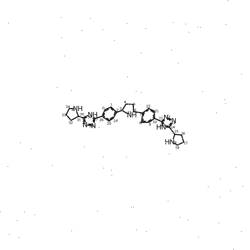 c1cc(C2CCC(c3ccc(-c4nnc(C5CCCN5)[nH]4)cc3)N2)ccc1-c1nnc(C2CCCN2)[nH]1